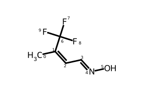 CC(=CC=NO)C(F)(F)F